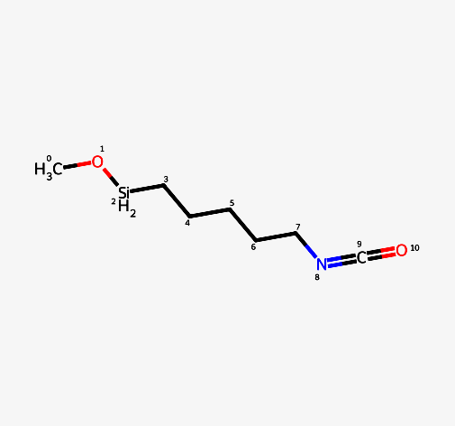 CO[SiH2]CCCCCN=C=O